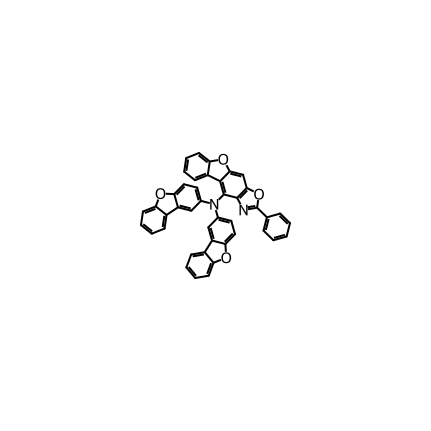 c1ccc(-c2nc3c(N(c4ccc5oc6ccccc6c5c4)c4ccc5oc6ccccc6c5c4)c4c(cc3o2)oc2ccccc24)cc1